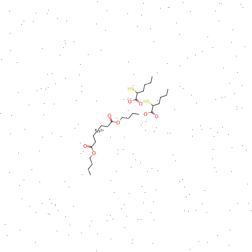 CCCCC(S)C(=O)[O-].CCCCC(S)C(=O)[O-].CCCCOC(=O)C[CH2][Sn+2][CH2]CC(=O)OCCCC